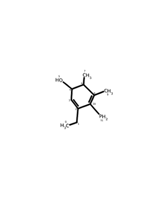 CCC1=CC(O)C(C)C(C)=C1P